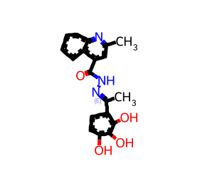 C/C(=N\NC(=O)c1cc(C)nc2ccccc12)c1ccc(O)c(O)c1O